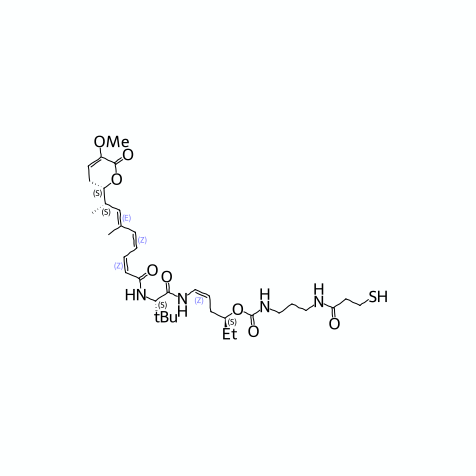 CC[C@@H](C/C=C\NC(=O)[C@@H](NC(=O)\C=C/C=C\C(C)=C\[C@H](C)[C@@H]1CC=C(OC)C(=O)O1)C(C)(C)C)OC(=O)NCCCNC(=O)CCS